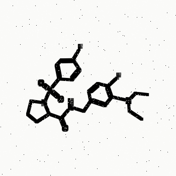 CCN(CC)c1cc(CNC(=O)C2CCCN2S(=O)(=O)c2ccc(F)cc2)ccc1F